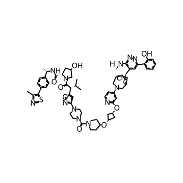 Cc1ncsc1-c1ccc([C@H](C)NC(=O)[C@@H]2C[C@@H](O)CN2C(=O)[C@@H](c2cc(N3CCN(C(=O)N4CCC(O[C@H]5C[C@H](Oc6cc(N7CC8CCC(C7)CN(c7cc(-c9ccccc9O)nnc7N)C8)ccn6)C5)CC4)CC3)no2)C(C)C)cc1